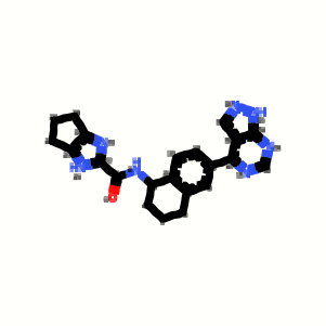 O=C(NC1CCCc2cc(-c3ncnc4[nH]ncc34)ccc21)c1nc2c([nH]1)CCC2